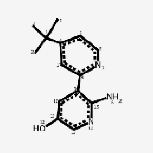 CC(C)(C)c1ccnc(-c2cc(O)cnc2N)c1